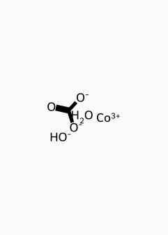 O.O=C([O-])[O-].[Co+3].[OH-]